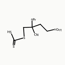 CCCCCCCCCCC(C#N)(CCC)CSC(=S)S